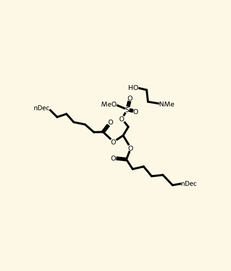 CCCCCCCCCCCCCCCC(=O)OC(COS(=O)(=O)OC)OC(=O)CCCCCCCCCCCCCCC.CNCCO